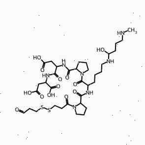 CNCCCC(O)NCCCCC(NC(=O)C1CCCN1C(=O)CCSSCCC=O)C(=O)N1CCCC1C(=O)NC(CC(=O)O)C(=O)NC(CC(=O)O)C(=O)O